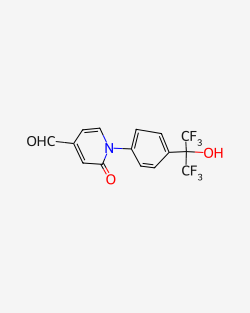 O=Cc1ccn(-c2ccc(C(O)(C(F)(F)F)C(F)(F)F)cc2)c(=O)c1